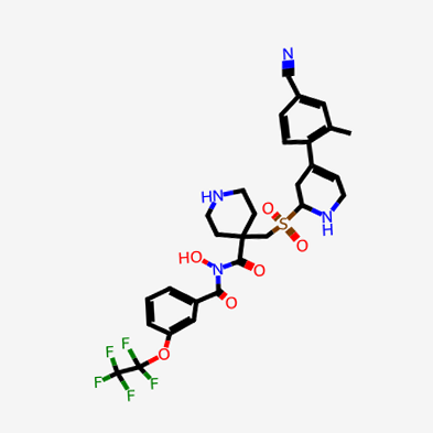 Cc1cc(C#N)ccc1C1=CCNC(S(=O)(=O)CC2(C(=O)N(O)C(=O)c3cccc(OC(F)(F)C(F)(F)F)c3)CCNCC2)C1